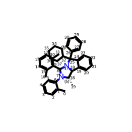 Cc1ccccc1N1C(c2c(C)cccc2C)N2C(c3ccccc3C2(c2ccccc2)C2CCCCC2)[C@@H]1C